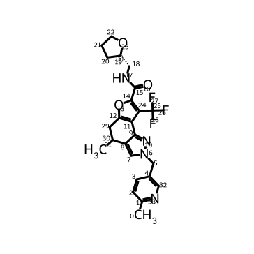 Cc1ccc(Cn2cc3c(n2)-c2c(oc(C(=O)NC[C@@H]4CCCO4)c2C(F)(F)F)CC3C)cn1